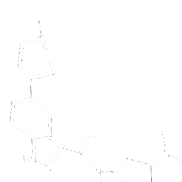 CN1CCCC2CC(NC(=O)c3n[nH]c4ccc(-c5ccc(F)cc5)cc34)CC21